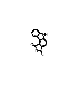 O=C1[N]C(=O)c2c1ccc1[nH]c3ccccc3c21